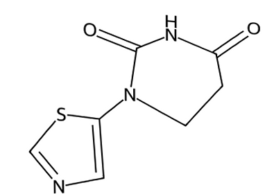 O=C1CCN(c2cncs2)C(=O)N1